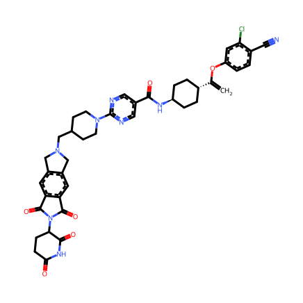 C=C(Oc1ccc(C#N)c(Cl)c1)[C@H]1CC[C@H](NC(=O)c2cnc(N3CCC(CN4Cc5cc6c(cc5C4)C(=O)N(C4CCC(=O)NC4=O)C6=O)CC3)nc2)CC1